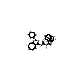 CC(NC(=O)Oc1nn(C2CCCCC2)c2c1CCCCC2)C12CC3CC(CC(C3)C1)C2